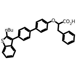 CCCCc1sc2ccccc2c1-c1ccc(-c2ccc(OC(Cc3ccccc3)C(=O)O)cc2)cc1